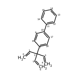 C=CC(C=C)(C=C)c1ccc(-c2cc[c]cc2)cc1